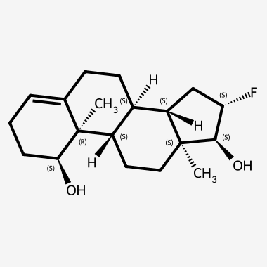 C[C@]12CC[C@H]3[C@@H](CCC4=CCC[C@H](O)[C@@]43C)[C@@H]1C[C@H](F)[C@H]2O